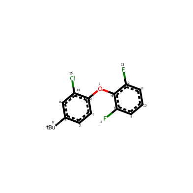 CC(C)(C)c1ccc(Oc2c(F)cccc2F)c(Cl)c1